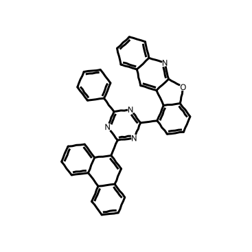 c1ccc(-c2nc(-c3cc4ccccc4c4ccccc34)nc(-c3cccc4oc5nc6ccccc6cc5c34)n2)cc1